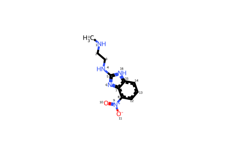 CNCCNc1nc2c([N+](=O)[O-])cccc2[nH]1